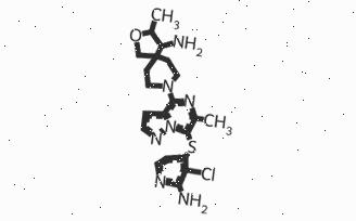 Cc1nc(N2CCC3(CC2)COC(C)C3N)c2ccnn2c1Sc1ccnc(N)c1Cl